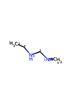 C=NCNCC